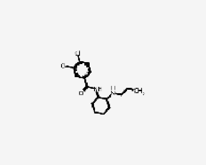 CCCNC1CCCCC1NC(=O)c1ccc(Cl)c(Cl)c1